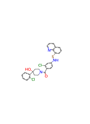 O=C(c1ccc(NSc2cccc3cccnc23)cc1Cl)N1CCC(O)(c2ccccc2Cl)CC1